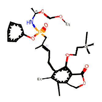 CCOCO[C@H](C)NP(=O)(C/C(C)=C/Cc1c(CC)c(C)c2c(c1OCC[Si](C)(C)C)C(=O)OC2)Oc1ccccc1